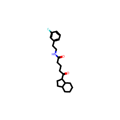 O=C(CCCC(=O)C1CCC2CCCCC21)NCCc1cccc(F)c1